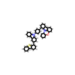 c1ccc2c(c1)Oc1cccc3c4cccc(-c5ccc(-n6c7ccccc7c7cc(-c8cccc9c8sc8ccccc89)ccc76)cc5)c4n-2c13